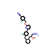 COC(CN)CC1C=CC=CC1Cc1ccc(-c2cccc(OCc3ccc(C#N)cc3F)n2)cc1F